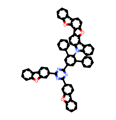 c1ccc(-c2cc(-c3nc(-c4ccc5c(c4)oc4ccccc45)nc(-c4ccc5c(c4)oc4ccccc45)n3)cc(-c3ccccc3)c2-n2c3ccccc3c3c4oc5ccc6c7ccccc7oc6c5c4ccc32)cc1